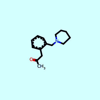 CC(=O)Cc1ccccc1CN1CCCCC1